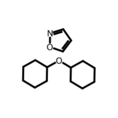 C1CCC(OC2CCCCC2)CC1.c1cnoc1